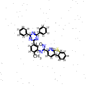 C=N/C(=N\c1cc(-c2nc(-c3ccccc3)nc(-c3ccccc3)n2)ccc1C)c1ccc2c(n1)sc1ccccc12